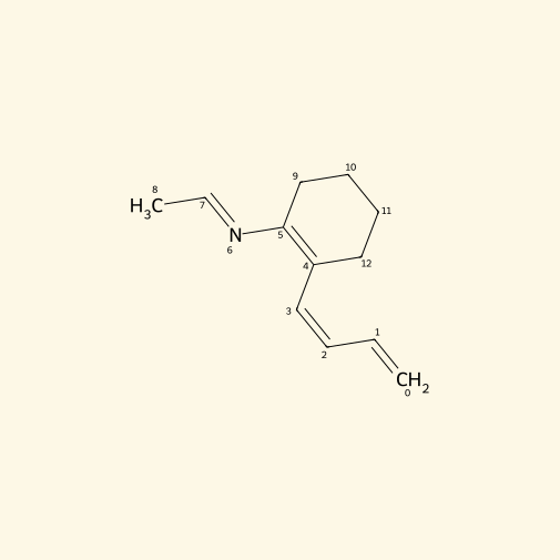 C=C/C=C\C1=C(/N=C/C)CCCC1